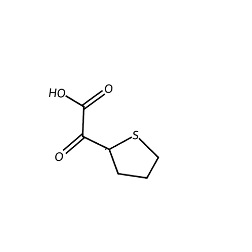 O=C(O)C(=O)[C]1CCCS1